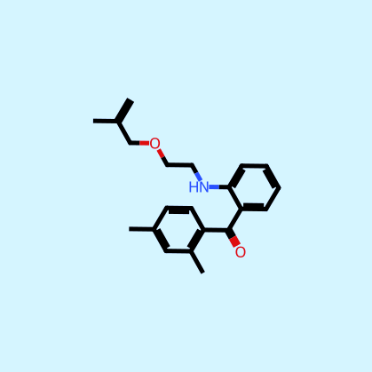 C=C(C)COCCNc1ccccc1C(=O)c1ccc(C)cc1C